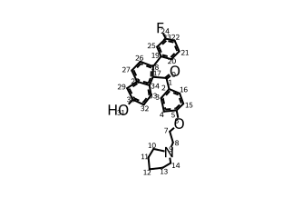 O=C(c1ccc(OCCN2CCCCC2)cc1)c1c(-c2cccc(F)c2)ccc2cc(O)ccc12